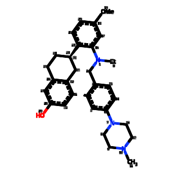 CCN(Cc1ccc(N2CCN(C)CC2)cc1)c1cc(OC)ccc1[C@@H]1CCc2cc(O)ccc2C1